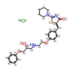 Cl.O=C1N=C(N2CCCCC2)SC1=Cc1ccc(OCCNCC(O)COc2ccccc2)cc1